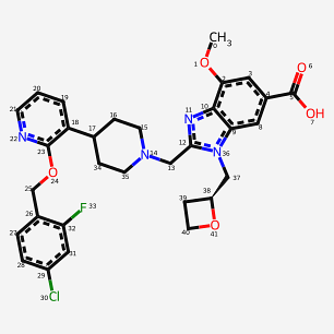 COc1cc(C(=O)O)cc2c1nc(CN1CCC(c3cccnc3OCc3ccc(Cl)cc3F)CC1)n2C[C@@H]1CCO1